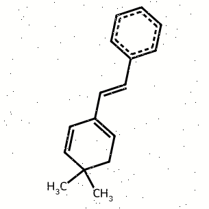 CC1(C)C=CC(/C=C/c2ccccc2)=CC1